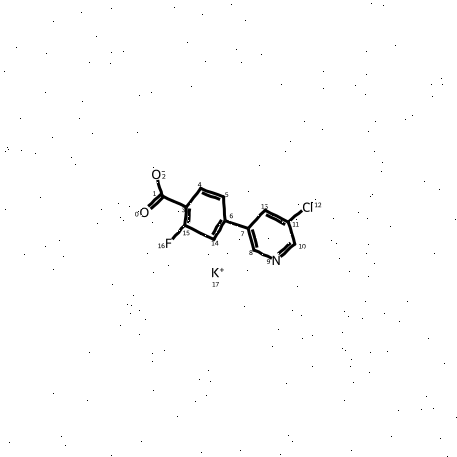 O=C([O-])c1ccc(-c2cncc(Cl)c2)cc1F.[K+]